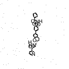 O=C(NS(=O)(=O)c1ccc(-c2ccc3c(c2)CC[C@H](CNC[C@H](O)c2cccnc2)O3)cc1)c1ccccc1